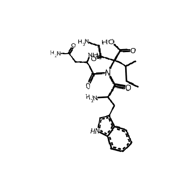 CCC(C)C(C(=O)O)(C(=O)CN)N(C(=O)C(N)CC(N)=O)C(=O)C(N)Cc1c[nH]c2ccccc12